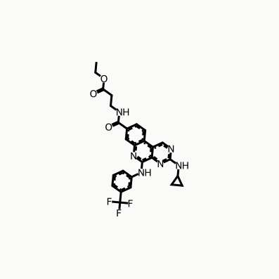 CCOC(=O)CCNC(=O)c1ccc2c(c1)nc(Nc1cccc(C(F)(F)F)c1)c1nc(NC3CC3)ncc12